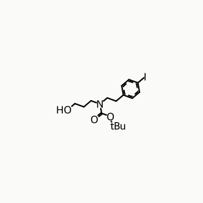 CC(C)(C)OC(=O)N(CCCO)CCc1ccc(I)cc1